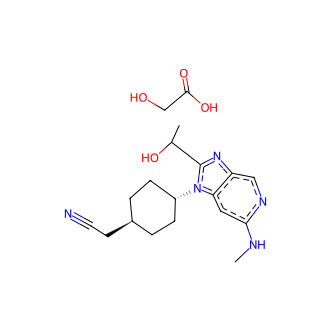 CNc1cc2c(cn1)nc(C(C)O)n2[C@H]1CC[C@H](CC#N)CC1.O=C(O)CO